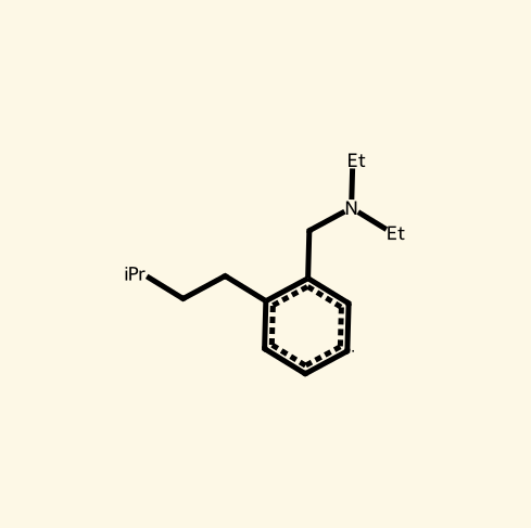 CCN(CC)Cc1c[c]ccc1CCC(C)C